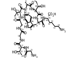 C[C@H](NC(=O)[C@@H](NC(=O)CNC(=O)CNC(=O)[C@@H](NC(=O)CN)[C@@H](C)O)[C@@H](C)O)C(=O)N[C@H](C(=O)N[C@@H](Cc1c[nH]c2ccccc12)C(=O)N[C@@H](CCCCN)C(=O)O)[C@@H](C)O